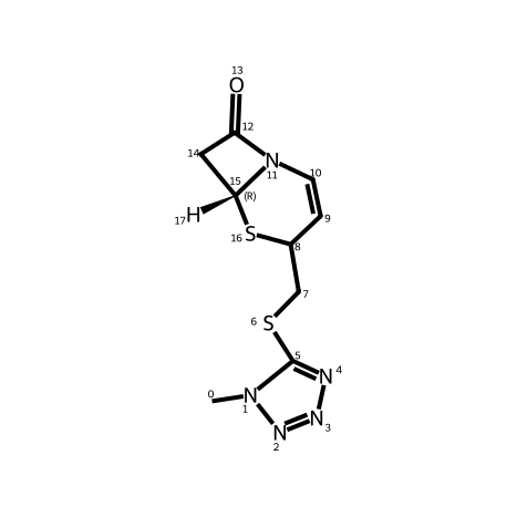 Cn1nnnc1SCC1C=CN2C(=O)C[C@H]2S1